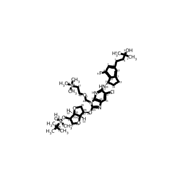 CC(C)(O)CCc1cc(F)c2c(c1)CC[C@@H]2Nc1nc2c(cc1Cl)nc(O[C@@H]1CO[C@@H]3C(O[Si](C)(C)C(C)(C)C)CO[C@@H]31)n2COCC[Si](C)(C)C